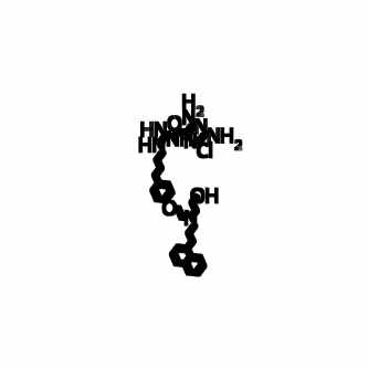 N=C(NCCCCc1ccc(OCCN(CCO)CCCc2cccc3ccccc23)cc1)NC(=O)c1nc(Cl)c(N)nc1N